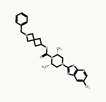 C[C@@H]1CN(c2nc3cc(C(F)(F)F)cnc3s2)C[C@H](C)N1C(=O)OC1CC2(C1)CN(Cc1ccccc1)C2